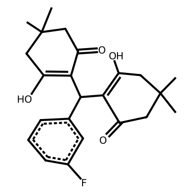 CC1(C)CC(=O)C(C(C2=C(O)CC(C)(C)CC2=O)c2cccc(F)c2)=C(O)C1